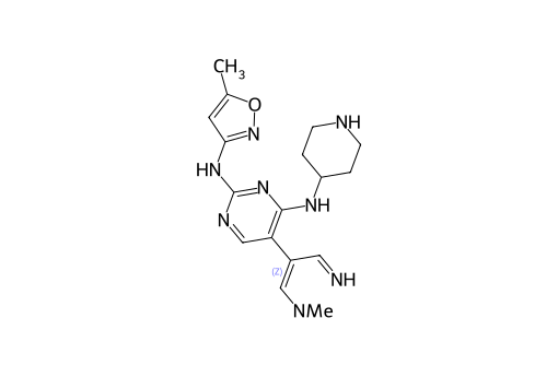 CN/C=C(\C=N)c1cnc(Nc2cc(C)on2)nc1NC1CCNCC1